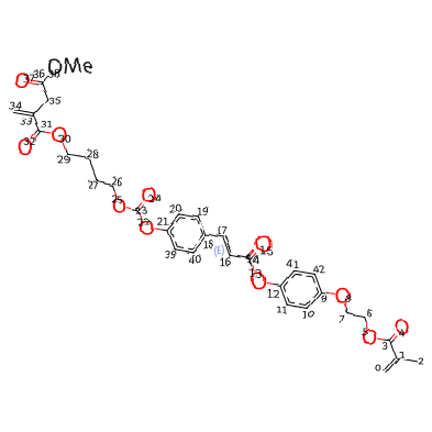 C=C(C)C(=O)OCCOc1ccc(OC(=O)/C=C/c2ccc(OC(=O)OCCCCOC(=O)C(=C)CC(=O)OC)cc2)cc1